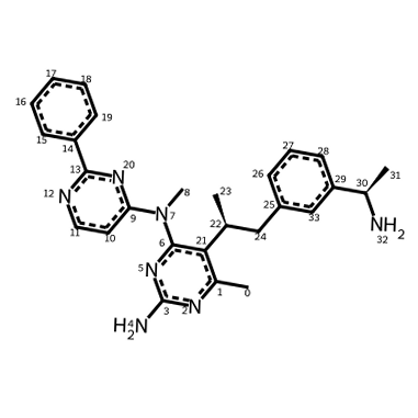 Cc1nc(N)nc(N(C)c2ccnc(-c3ccccc3)n2)c1[C@@H](C)Cc1cccc([C@@H](C)N)c1